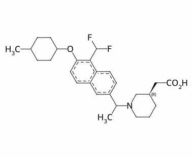 CC1CCC(Oc2ccc3cc(C(C)N4CCC[C@H](CC(=O)O)C4)ccc3c2C(F)F)CC1